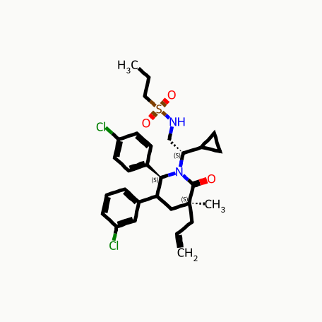 C=CC[C@@]1(C)CC(c2cccc(Cl)c2)[C@@H](c2ccc(Cl)cc2)N([C@H](CNS(=O)(=O)CCC)C2CC2)C1=O